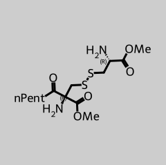 CCCCCC(=O)[C@](N)(CSSC[C@H](N)C(=O)OC)C(=O)OC